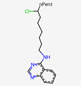 CCCCCC(Cl)CCCCCCNc1ncnc2ccccc12